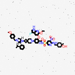 CCOc1nc2[nH]cc(F)c2cc1Oc1cc(N2CCC3(CC2)CC(N2[C@H]4C[C@@H]([C@H]2c2ccccc2C(C)C)N(Cc2ccc(OC)cc2)C4)C3)ccc1C(=O)NS(=O)(=O)c1cnc(NCC2CCC(C)(O)CC2)c([N+](=O)[O-])c1